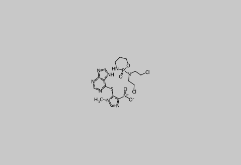 Cn1cnc([N+](=O)[O-])c1Sc1ncnc2nc[nH]c12.O=P1(N(CCCl)CCCl)NCCCO1